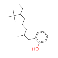 CCC(CCCC(C)Cc1ccccc1O)C(C)(C)C